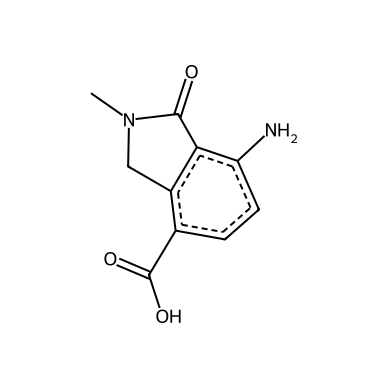 CN1Cc2c(C(=O)O)ccc(N)c2C1=O